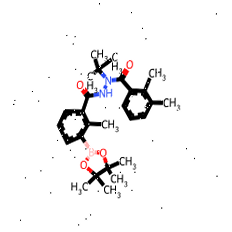 Cc1cccc(C(=O)N(NC(=O)c2cccc(B3OC(C)(C)C(C)(C)O3)c2C)C(C)(C)C)c1C